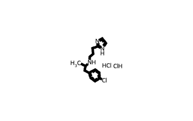 CC(Cc1ccc(Cl)cc1)NCCCc1ncc[nH]1.Cl.Cl